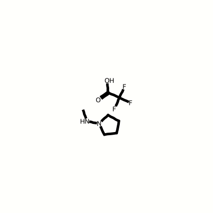 CNN1CCCC1.O=C(O)C(F)(F)F